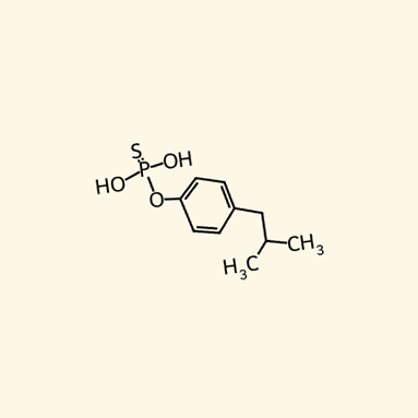 CC(C)Cc1ccc(OP(O)(O)=S)cc1